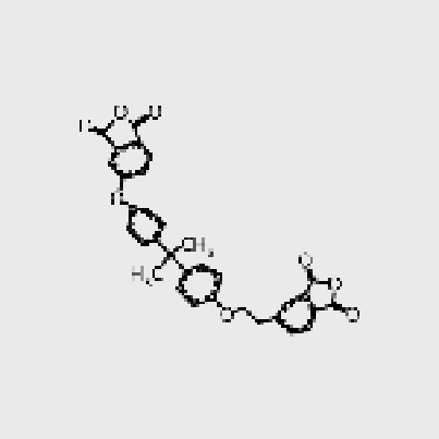 CC(C)(c1ccc(OCCc2ccc3c(c2)C(=O)OC3=O)cc1)c1ccc(Oc2ccc3c(c2)C(=O)OC3=O)cc1